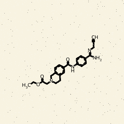 C#CCN=C(N)c1ccc(NC(=O)c2ccc3c(c2)CCN(CC(=O)OCC)C3)cc1